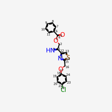 N=C(COC(=O)c1ccccc1)c1csc(COc2ccc(Cl)cc2)n1